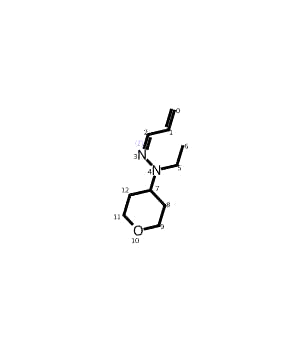 C=C/C=N\N(CC)C1CCOCC1